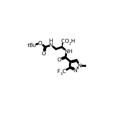 Cn1cc(C(=O)N[C@@H](CNC(=O)OC(C)(C)C)C(=O)O)c(C(F)(F)F)n1